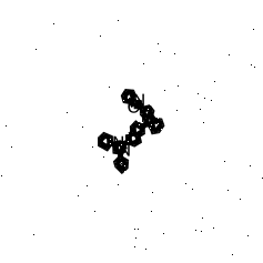 c1ccc(-c2cc(-c3ccccc3)nc(-c3ccc4cc(-n5c6ccccc6c6ccc(-c7nc8ccccc8o7)cc65)ccc4c3)n2)cc1